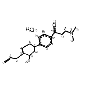 C=CCC1CCC(c2ccc(C(=O)CCN(C)C)cc2)CC1C.Cl